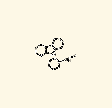 C=O.Oc1ccccc1.c1ccc2c(c1)[nH]c1ccccc12